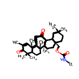 CCNC(=O)OC[C@]12CCC(C)(C)CC1C1C(=O)C=C3[C@@]4(C)C=C(C#N)C(=O)C(C)(C)C4CC[C@@]3(C)[C@]1(C)CC2